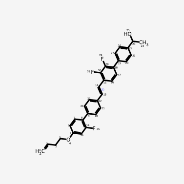 C=CCCOc1ccc(-c2ccc(/C=C/c3ccc(-c4ccc(C(C)O)cc4)c(F)c3F)cc2)c(F)c1